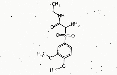 CCNC(=O)C(N)S(=O)(=O)c1ccc(OC)c(OC)c1